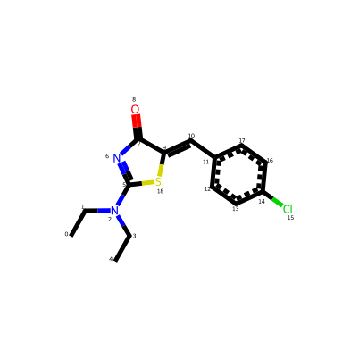 CCN(CC)C1=NC(=O)/C(=C/c2ccc(Cl)cc2)S1